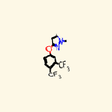 Cn1[c]cc(Oc2ccc(C(F)(F)F)c(C(F)(F)F)c2)n1